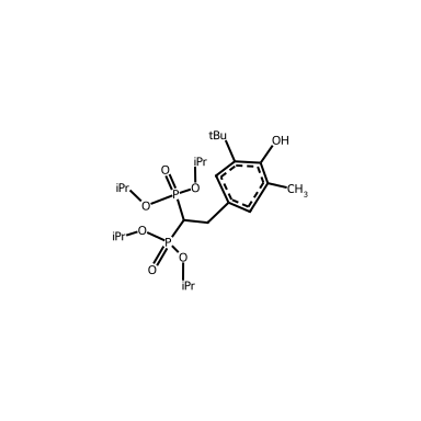 Cc1cc(CC(P(=O)(OC(C)C)OC(C)C)P(=O)(OC(C)C)OC(C)C)cc(C(C)(C)C)c1O